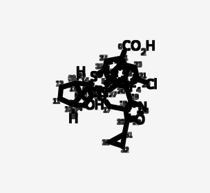 O=C(O)c1cc(F)c2nc([C@]3(O)[C@@H]4CC[C@H]3C[C@H](OCc3c(-c5c(Cl)cccc5Cl)noc3C3CC3)C4)sc2c1